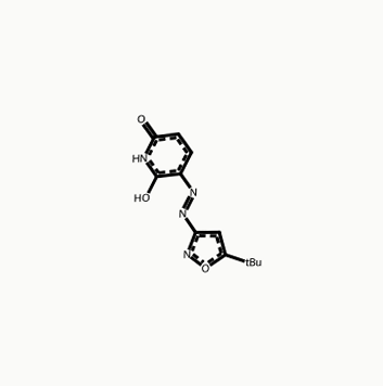 CC(C)(C)c1cc(N=Nc2ccc(=O)[nH]c2O)no1